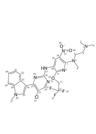 CN(C)CCN(C)c1nc(OCC(F)(F)F)c(Nc2ncc(Cl)c(-c3cn(C)c4ccccc34)n2)cc1[N+](=O)[O-]